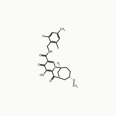 CO[C@H]1CC[C@H]2CN(C1)C(=O)c1c(O)c(=O)c(C(=O)NCc3c(F)cc(C)cc3F)cn12